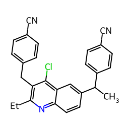 CCc1nc2ccc(C(C)c3ccc(C#N)cc3)cc2c(Cl)c1Cc1ccc(C#N)cc1